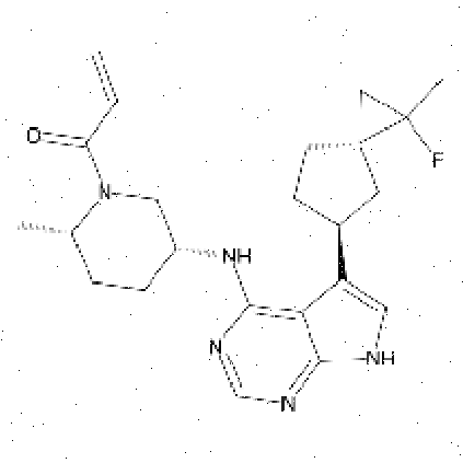 C=CC(=O)N1C[C@H](Nc2ncnc3[nH]cc([C@H]4CC[C@]5(C4)CC5(C)F)c23)CC[C@@H]1C